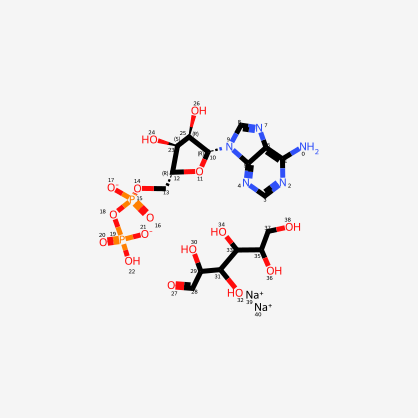 Nc1ncnc2c1ncn2[C@@H]1O[C@H](COP(=O)([O-])OP(=O)([O-])O)[C@@H](O)[C@H]1O.O=CC(O)C(O)C(O)C(O)CO.[Na+].[Na+]